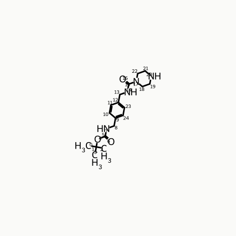 CC(C)(C)OC(=O)NCc1ccc(CNC(=O)N2CCNCC2)cc1